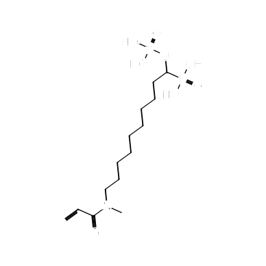 C=CC(=O)N(C)CCCCCCCCCC(OP(=O)(O)O)P(=O)(O)O